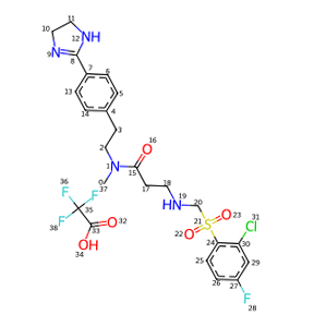 CN(CCc1ccc(C2=NCCN2)cc1)C(=O)CCNCS(=O)(=O)c1ccc(F)cc1Cl.O=C(O)C(F)(F)F